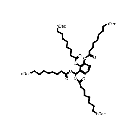 CCCCCCCCCCCCCCCCCC(=O)Oc1cccc(C(OC(=O)CCCCCCCCCCCCCCCCC)OC(=O)CCCCCCCCCCCCCCCCC)c1OC(=O)CCCCCCCCCCCCCCCCC